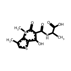 Cc1csc2c(O)c(C(=O)NC(C)C(=O)O)c(=O)n(C)c12